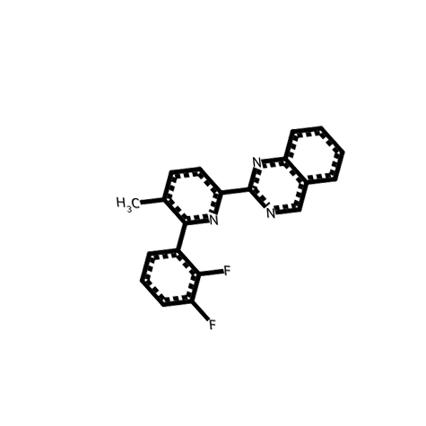 Cc1ccc(-c2ncc3ccccc3n2)nc1-c1cccc(F)c1F